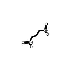 O=[SH](=O)CCC[SH](=O)=O